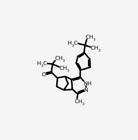 CC1=NNC(c2ccc(C(C)(C)C)cc2)=C2C3CC(CC3C(=O)C(C)(C)C)C12